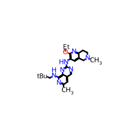 CCOc1nc2c(cc1Nc1ncc3cc(C)nc(NCC(C)(C)C)c3n1)CN(C)CC2